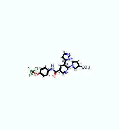 O=C(Nc1ccc(OC(F)(F)Cl)cc1)c1cnc(N2CCC(C(=O)O)C2)c(-c2ccn[nH]2)c1